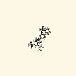 CCN(CC)c1cc(C(F)(F)F)cc2[nH]c(-c3ccc(-c4ncccc4C(F)(F)F)cc3)nc12